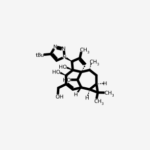 CC1=C[C@]23C(O)[C@@H](C=C(CO)[C@@H](O)[C@]2(O)[C@H]1n1cc(C(C)(C)C)nn1)[C@H]1[C@@H](C[C@H]3C)C1(C)C